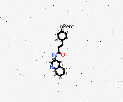 CCCCCc1ccc(C=CC(=O)Nc2cnc3ccccc3c2)cc1